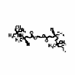 CCC(C)(C)N=NC(C)(C#N)CCC(=O)OCCOC(=O)CCC(C)(C#N)N=NC(C)(C)CC